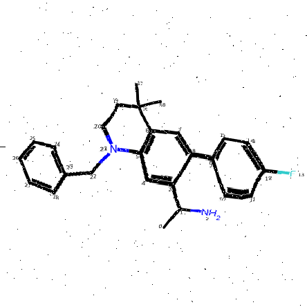 CC(N)c1cc2c(cc1-c1ccc(F)cc1)C(C)(C)CCN2Cc1ccccc1